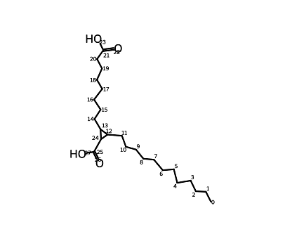 CCCCCCCCCCCCC1C(CCCCCCCC(=O)O)C1C(=O)O